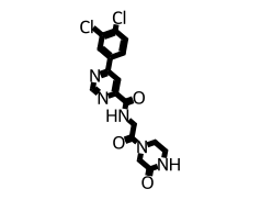 O=C1CN(C(=O)CNC(=O)c2cc(-c3ccc(Cl)c(Cl)c3)ncn2)CCN1